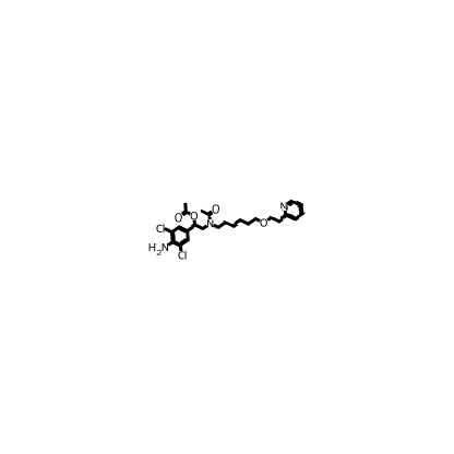 CC(=O)OC(CN(CCCCCCOCCc1ccccn1)C(C)=O)c1cc(Cl)c(N)c(Cl)c1